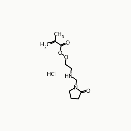 C=C(C)C(=O)OOCCNCN1CCCC1=O.Cl